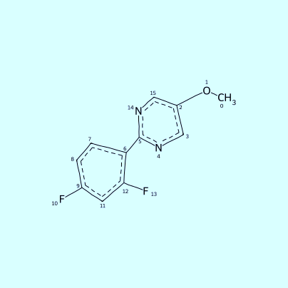 COc1cnc(-c2ccc(F)cc2F)nc1